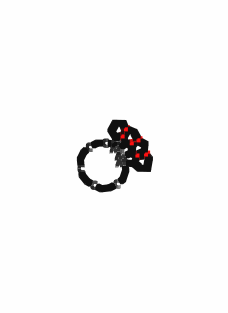 c1ccc([As]2CCCCCCCCCCCCCC[As](c3ccccc3)[As](c3ccccc3)[As]2c2ccccc2)cc1